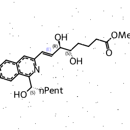 CCCCC[C@H](O)c1nc(/C=C/[C@@H](O)[C@@H](O)CCCC(=O)OC)cc2ccccc12